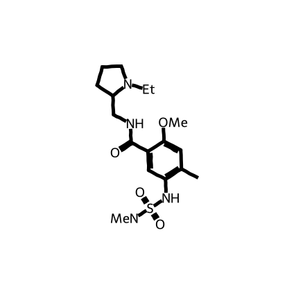 CCN1CCCC1CNC(=O)c1cc(NS(=O)(=O)NC)c(C)cc1OC